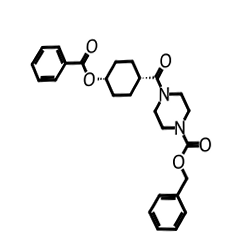 O=C(O[C@H]1CC[C@@H](C(=O)N2CCN(C(=O)OCc3ccccc3)CC2)CC1)c1ccccc1